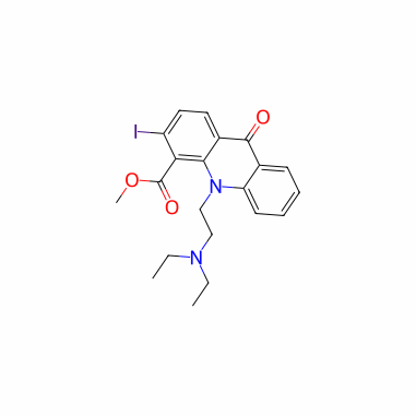 CCN(CC)CCn1c2ccccc2c(=O)c2ccc(I)c(C(=O)OC)c21